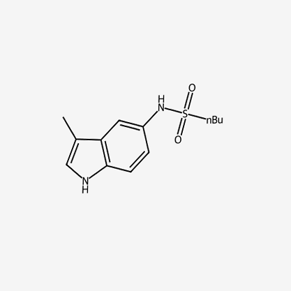 CCCCS(=O)(=O)Nc1ccc2[nH]cc(C)c2c1